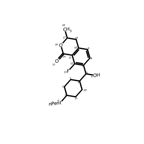 CCCCCC1CCC(C(O)c2ccc3c(c2F)C(=O)OC(C)C3)CC1